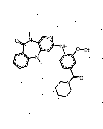 CCOc1cc(C(=O)N2CCCCC2)ccc1Nc1cc2c(cn1)N(C)C(=O)c1ccccc1N2C